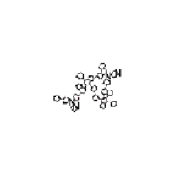 c1ccc(-c2ccc(N(c3ccc(-c4ccc5c6c(cccc46)-c4c-5c(-c5ccccc5)c5cc(-c6ccc7c(N(c8ccncc8)c8ccc(-c9ccc%10c%11c(cccc9%11)-c9c-%10c(-c%10ccccc%10)c%10ccccc%10c9-c9ccccc9)cc8)cc8ccccc8c7c6)ccc5c4-c4ccccc4)cc3)c3ccccn3)cc2)cc1